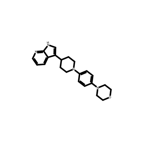 c1cnc2[nH]cc(C3CCN(c4ccc(N5CCOCC5)cc4)CC3)c2c1